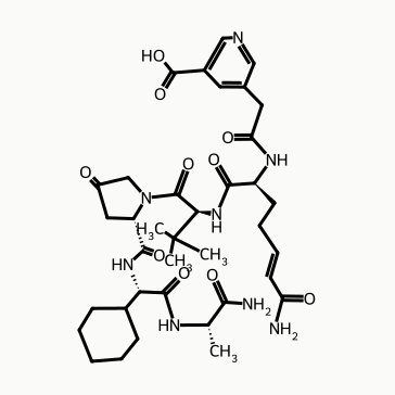 C[C@H](NC(=O)[C@@H](NC(=O)[C@@H]1CC(=O)CN1C(=O)[C@@H](NC(=O)[C@H](CC/C=C/C(N)=O)NC(=O)Cc1cncc(C(=O)O)c1)C(C)(C)C)C1CCCCC1)C(N)=O